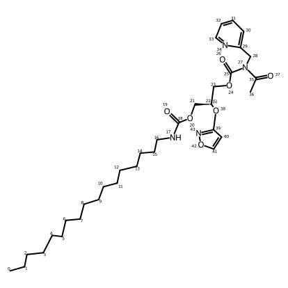 CCCCCCCCCCCCCCCCCNC(=O)OC[C@@H](COC(=O)N(Cc1ccccn1)C(C)=O)Oc1ccon1